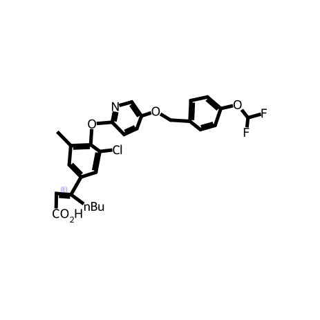 CCCC/C(=C\C(=O)O)c1cc(C)c(Oc2ccc(OCc3ccc(OC(F)F)cc3)cn2)c(Cl)c1